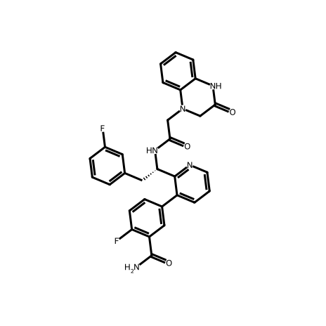 NC(=O)c1cc(-c2cccnc2[C@H](Cc2cccc(F)c2)NC(=O)CN2CC(=O)Nc3ccccc32)ccc1F